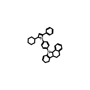 C1=CC2=C(CC1)C1CCc3ccccc3C1N2c1ccc(N2C(c3ccccc3)=CC2C2CCCCC2)cc1